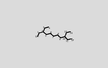 [CH2]CC(CC)CCCCCC(CC)CC